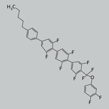 CCCCCc1ccc(-c2cc(F)c(-c3cc(F)c(-c4cc(F)c(C(F)(F)Oc5ccc(F)c(F)c5)c(F)c4)c(F)c3)c(F)c2)cc1